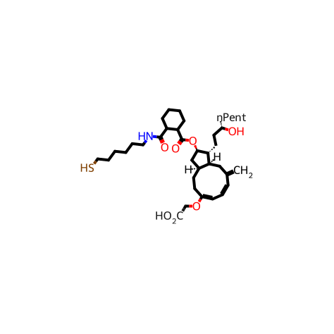 C=C1/C=C\C=C(\OCC(=O)O)CC[C@H]2C[C@@H](OC(=O)C3CCCCC3C(=O)NCCCCCCS)[C@H](CC[C@@H](O)CCCCC)[C@H]2C1